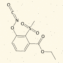 CCOC(=O)c1cccc(ON=C=O)c1S(C)(=O)=O